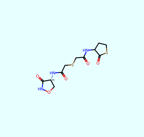 O=C(CSCC(=O)N[C@@H]1CONC1=O)NC1CCSC1=O